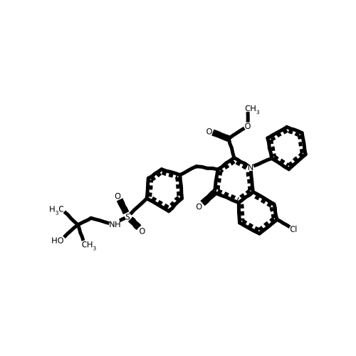 COC(=O)c1c(Cc2ccc(S(=O)(=O)NCC(C)(C)O)cc2)c(=O)c2ccc(Cl)cc2n1-c1ccccc1